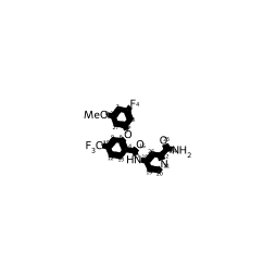 COc1cc(F)cc(Oc2cc(C(F)(F)F)ccc2C(=O)Nc2ccnc(C(N)=O)c2)c1